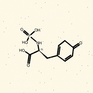 O=C1C=CC(C[C@H](NP(=O)(O)O)C(=O)O)=CC1